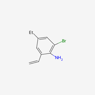 C=Cc1cc(CC)cc(Br)c1N